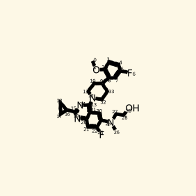 COc1ccc(F)cc1C1CCN(c2nc(C3CC3)nc3cc(F)c(N(C)CCO)cc23)CC1